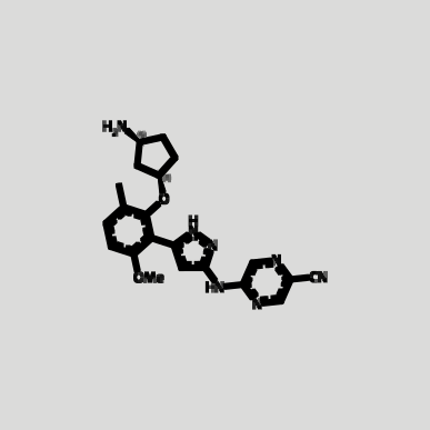 COc1ccc(C)c(O[C@@H]2CC[C@H](N)C2)c1-c1cc(Nc2cnc(C#N)cn2)n[nH]1